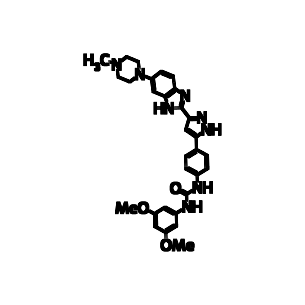 COc1cc(NC(=O)Nc2ccc(-c3cc(-c4nc5ccc(N6CCN(C)CC6)cc5[nH]4)n[nH]3)cc2)cc(OC)c1